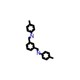 Cc1ccc(/N=C/c2cccc(/C=N/c3ccc(C)cc3)c2)cc1